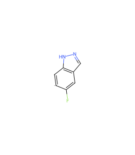 Fc1[c]cc2[nH]ncc2c1